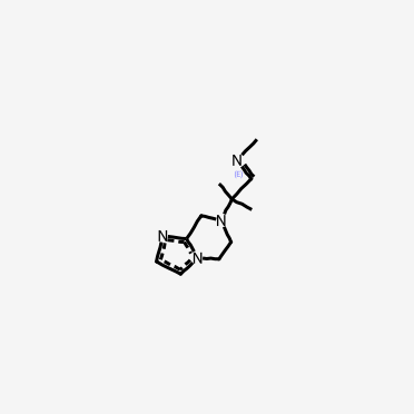 C/N=C/C(C)(C)N1CCn2ccnc2C1